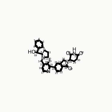 C[C@](O)(c1ccccc1)[C@H]1CCCN1Cc1ccnc(-c2ccc3c(c2)CN(C2CCC(=O)NC2=O)C3=O)c1F